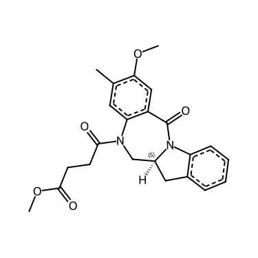 COC(=O)CCC(=O)N1C[C@@H]2Cc3ccccc3N2C(=O)c2cc(OC)c(C)cc21